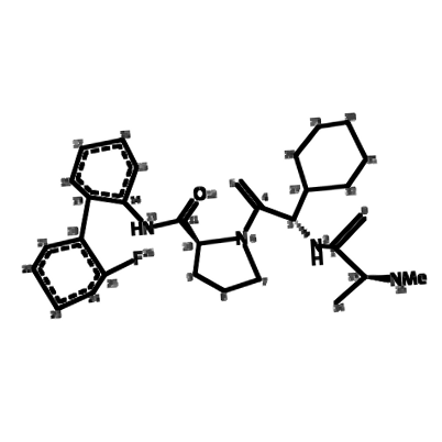 C=C(N[C@H](C(=C)N1CCC[C@H]1C(=O)Nc1ccccc1-c1ccccc1F)C1CCCCC1)[C@H](C)NC